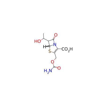 CC(O)C1C(=O)N2C(C(=O)O)=C(COC(N)=O)S[C@H]12